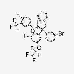 O=C(N[C@](Cc1ccccc1)(c1cccc(Br)c1)c1cc(F)cc(OC(F)(F)C(F)F)c1)c1ccc(F)c(C(F)(F)F)c1